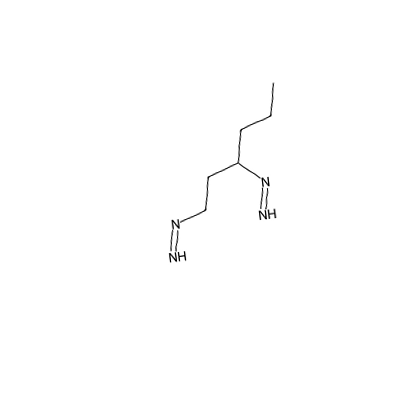 CCCC(CCN=N)N=N